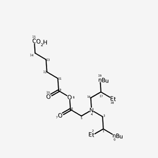 CCCCC(CC)CN(CC(=O)OC(=O)CCCCC(=O)O)CC(CC)CCCC